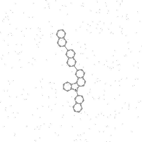 c1ccc2cc(-c3ccc4cc(-c5ccc6ccc7c(c6c5)c5ccccc5n7-c5ccc6ccccc6c5)ccc4c3)ccc2c1